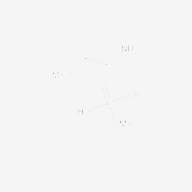 COCCN.COP(=O)(O)O